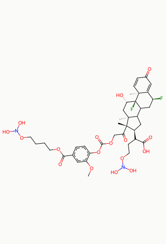 COc1cc(C(=O)OCCCCON(O)O)ccc1OC(=O)OCC(=O)[C@@]1(C)[C@H](C(CCON(O)O)C(=O)O)CC2C3C[C@H](F)C4=CC(=O)C=C[C@]4(C)[C@@]3(F)[C@@H](O)C[C@@]21C